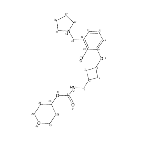 O=C(NCC1CC(Oc2cccc(CN3CCCC3)c2Cl)C1)OC1CCOCC1